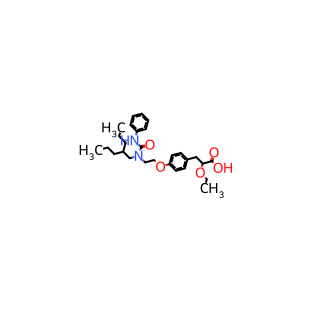 CCCC(CCC)CN(CCOc1ccc(CC(OCC)C(=O)O)cc1)C(=O)Nc1ccccc1